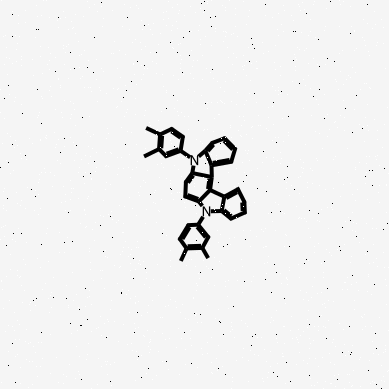 Cc1ccc(-n2c3ccccc3c3c4c5ccccc5n(-c5ccc(C)c(C)c5)c4ccc32)cc1C